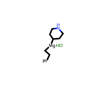 CC(C)C[CH2][Mg][CH]1CCNCC1.Cl